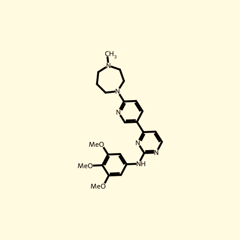 COc1cc(Nc2nccc(-c3ccc(N4CCCN(C)CC4)nc3)n2)cc(OC)c1OC